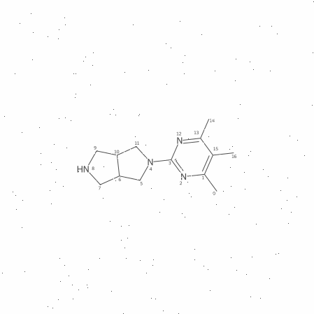 Cc1nc(N2CC3CNCC3C2)nc(C)c1C